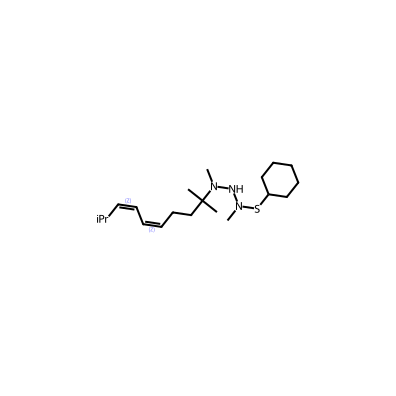 CC(C)/C=C\C=C/CCC(C)(C)N(C)NN(C)SC1CCCCC1